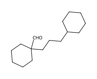 O=CC1(CCCC2CCCCC2)CCCCC1